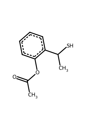 CC(=O)Oc1ccccc1C(C)S